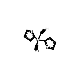 C#C[Si](C#C)(c1cccs1)c1cccs1